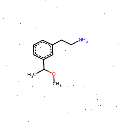 COC(C)c1cccc(CCN)c1